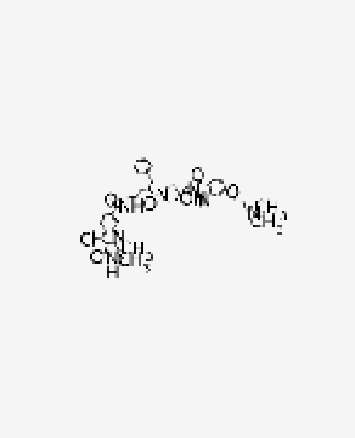 CN(C)CCCOc1ccc2c(=O)n(CC3(O)CCN(C(=O)C(CCCNC(=O)c4ccc5c(Cl)c6c(nc5c4)C(C)(C)NC6=O)Cc4ccccc4)CC3)cnc2c1